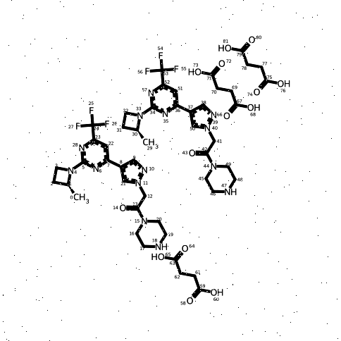 C[C@H]1CCN1c1nc(-c2cnn(CC(=O)N3CCNCC3)c2)cc(C(F)(F)F)n1.C[C@H]1CCN1c1nc(-c2cnn(CC(=O)N3CCNCC3)c2)cc(C(F)(F)F)n1.O=C(O)CCC(=O)O.O=C(O)CCC(=O)O.O=C(O)CCC(=O)O